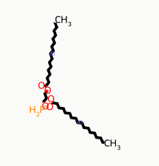 CCCCCCCC/C=C/CCCCCCCC(=O)OCC(COP)OC(=O)CCCCCCC/C=C/CCCCCCCC